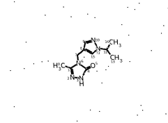 Cc1n[nH]c(=O)n1Cc1cnn(C(C)C)c1